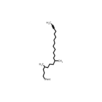 [CH2]C#CCCCCCCCCCCC(C)CCCC(C)CCCC(C)CC[CH2]